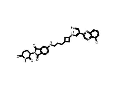 N=C/C(=C\NC1CC(CCCNc2ccc3c(c2)C(=O)N(C2CCC(=O)NC2=O)C3=O)C1)c1cnc2c(Cl)cccc2n1